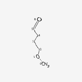 COCC[CH]C=O